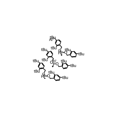 C=[PH-](OCc1ccc(C(C)(C)C)cc1C(C)(C)C)OCc1ccc(C(C)(C)C)cc1C(C)(C)C.C=[PH-](OCc1ccc(C(C)(C)C)cc1C(C)(C)C)OCc1ccc(C(C)(C)C)cc1C(C)(C)C.C=[PH-](OCc1ccc(C(C)(C)C)cc1C(C)(C)C)OCc1ccc(C(C)(C)C)cc1C(C)(C)C.[Al+3]